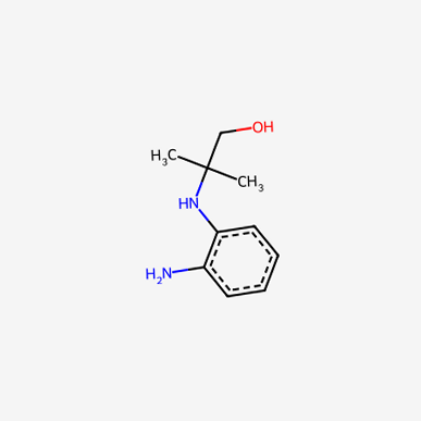 CC(C)(CO)Nc1ccccc1N